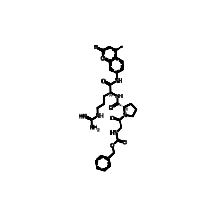 Cc1cc(=O)oc2cc(NC(=O)[C@H](CCCNC(=N)N)NC(=O)[C@@H]3CCCN3C(=O)CNC(=O)OCc3ccccc3)ccc12